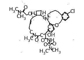 CN(C)C(=O)CO[C@H]1/C=C/CCN(C)C(=O)C[C@](O)(C(=O)NS(=O)(=O)N(C)C)c2ccc3c(c2)N(CCCCc2cc(Cl)ccc2CO3)C[C@@H]2CC[C@H]21